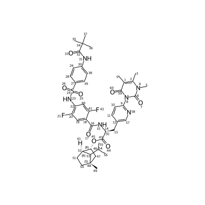 Cc1c(C)n(C)c(=O)n(-c2ccc(C[C@H](NC(=O)c3cc(F)c(NS(=O)(=O)c4ccc(NC(=O)C(C)(C)C)cc4)cc3F)C(=O)O[C@@H]3C[C@]4(C)CC[C@@H]3C4C(C)C)cn2)c1=O